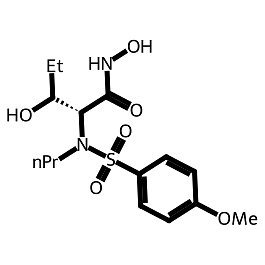 CCCN([C@@H](C(=O)NO)C(O)CC)S(=O)(=O)c1ccc(OC)cc1